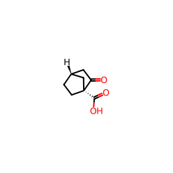 O=C(O)[C@@]12CC[C@H](CC1=O)C2